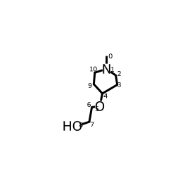 CN1CCC(OCCO)CC1